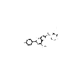 CC[C@H](C)c1cc(-c2ccc(F)cc2)nc2cc(C(=O)N3CCNC(=O)C3(C)C)oc12